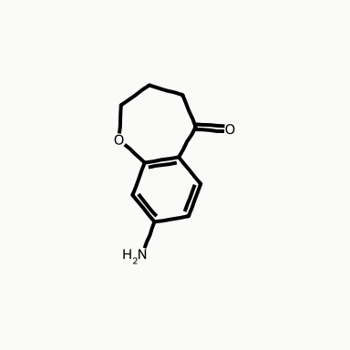 Nc1ccc2c(c1)OCCCC2=O